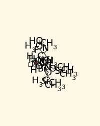 CC(C)(C)OC(=O)N1[C@@H]2CC[C@H]1C[C@H](c1nc3c(-c4cnc(C(C)(C)O)c(F)c4)cnn3c(N(COCC[Si](C)(C)C)COCC[Si](C)(C)C)c1Br)C2